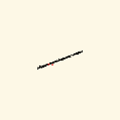 CCCCCCCCCCCCCCCCCCCCCCCCCCCCCC(CCCCCCCCCCCCCC)OC